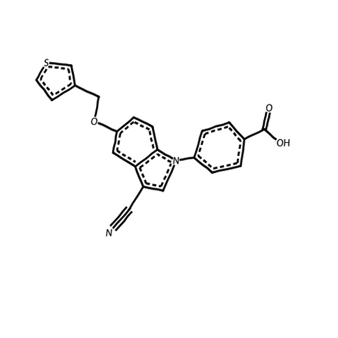 N#Cc1cn(-c2ccc(C(=O)O)cc2)c2ccc(OCc3ccsc3)cc12